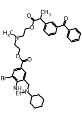 CCN(Cc1cc(C(=O)OCCN(C)CCOC(=O)C(C)c2cccc(C(=O)c3ccccc3)c2)cc(Br)c1N)C1CCCCC1